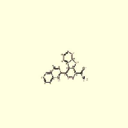 NC(=O)c1ccc(-c2cnc3ccccc3n2)c2c1Cc1ccccc1-2